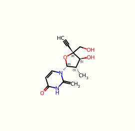 C#C[C@]1(CO)O[C@@H](N2C=CC(=O)NC2=C)[C@@H](C)[C@@H]1O